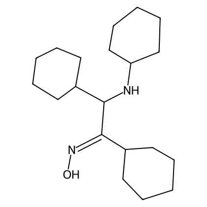 O/N=C(\C1CCCCC1)C(NC1CCCCC1)C1CCCCC1